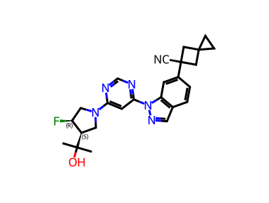 CC(C)(O)[C@@H]1CN(c2cc(-n3ncc4ccc(C5(C#N)CC6(CC6)C5)cc43)ncn2)C[C@@H]1F